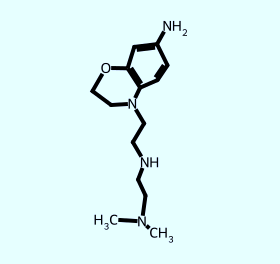 CN(C)CCNCCN1CCOc2cc(N)ccc21